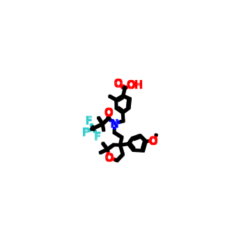 COc1ccc(C2(CCN(Cc3ccc(C(=O)O)c(C)c3)C(=O)C(C)(C)C(F)(F)F)CCOC(C)(C)C2)cc1